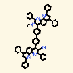 [C-]#[N+]c1c(-c2ccccc2)nc2c(ccc3c(-c4ccccc4)cc(-c4ccccc4)nc32)c1-c1ccc(-c2ccc(-c3c(C#N)c(-c4ccccc4)nc4c3ccc3c(-c5ccccc5)cc(-c5ccccc5)nc34)cc2)cc1